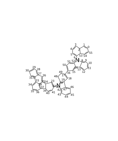 C1=CC2C=CC=C(n3c4ccccc4c4cc(C5=Cc6c(n(C7=CC8c9cc%10ccccc%10c%10cccc(c9%10)C8C=C7)c7ccccc67)CC5)ccc43)C2C=C1